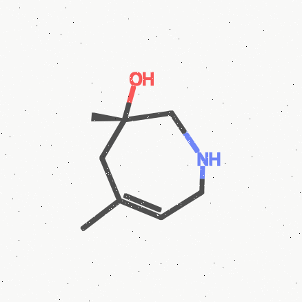 CC1=CCNC[C@@](C)(O)C1